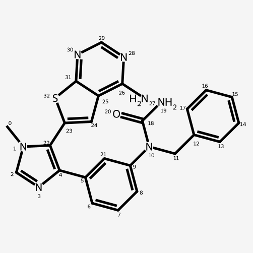 Cn1cnc(-c2cccc(N(Cc3ccccc3)C(N)=O)c2)c1-c1cc2c(N)ncnc2s1